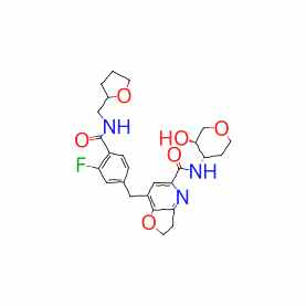 O=C(N[C@H]1CCOC[C@@H]1O)c1cc(Cc2ccc(C(=O)NCC3CCCO3)c(F)c2)c2c(n1)CCO2